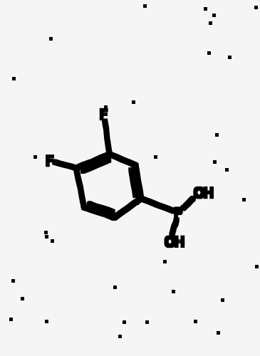 OP(O)c1ccc(F)c(F)c1